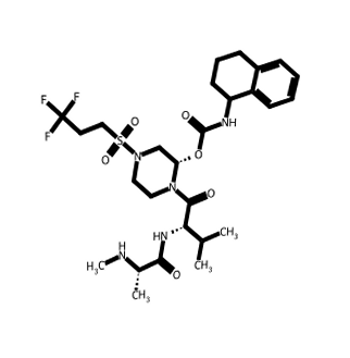 CN[C@@H](C)C(=O)N[C@H](C(=O)N1CCN(S(=O)(=O)CCC(F)(F)F)C[C@@H]1OC(=O)NC1CCCc2ccccc21)C(C)C